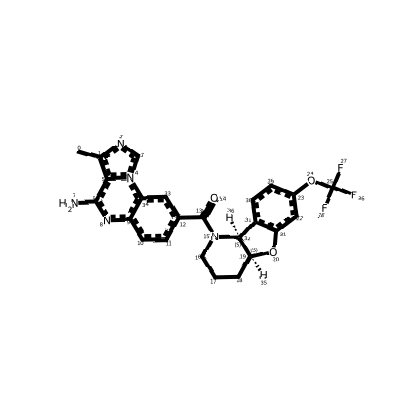 Cc1ncn2c1c(N)nc1ccc(C(=O)N3CCC[C@@H]4Oc5cc(OC(F)(F)F)ccc5[C@@H]43)cc12